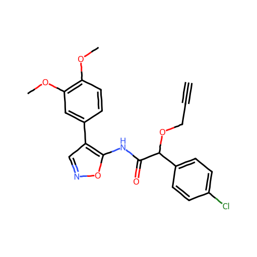 C#CCOC(C(=O)Nc1oncc1-c1ccc(OC)c(OC)c1)c1ccc(Cl)cc1